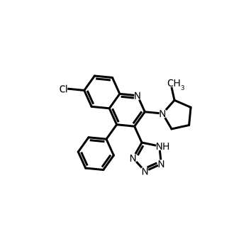 CC1CCCN1c1nc2ccc(Cl)cc2c(-c2ccccc2)c1-c1nnn[nH]1